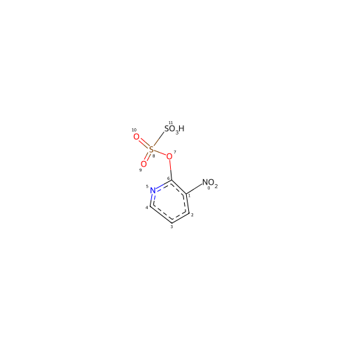 O=[N+]([O-])c1cccnc1OS(=O)(=O)S(=O)(=O)O